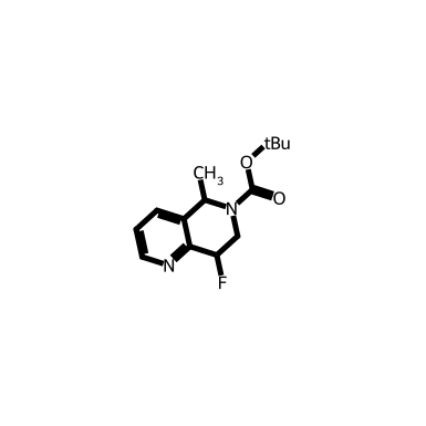 CC1c2cccnc2C(F)CN1C(=O)OC(C)(C)C